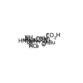 CCCCN(CCC(=O)O)C(=O)[C@@H](N)CC(=O)NC[C@@H]1CCCN(C(=N)N)C1.Cl